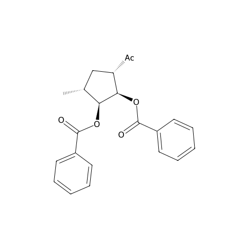 CC(=O)[C@H]1C[C@@H](C)[C@H](OC(=O)c2ccccc2)[C@@H]1OC(=O)c1ccccc1